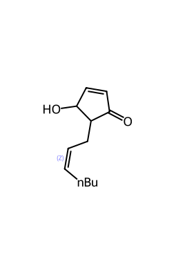 CCCC/C=C\CC1C(=O)C=CC1O